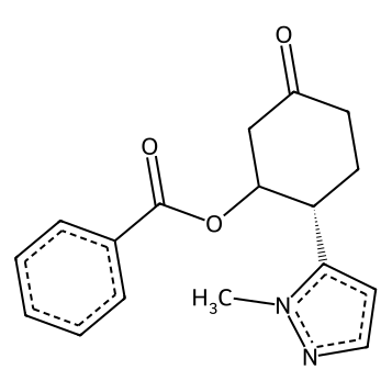 Cn1nccc1[C@H]1CCC(=O)CC1OC(=O)c1ccccc1